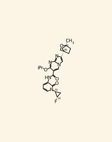 CC(C)Oc1nc2nc([C@@]34CC[C@@](C)(C3)OC4)cn2cc1C(=O)Nc1cccn([C@H]2C[C@@H]2F)c1=O